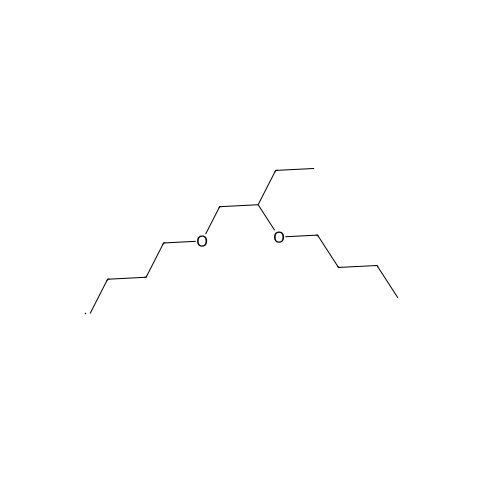 [CH2]CCCOCC(CC)OCCCC